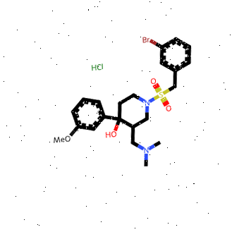 COc1cccc(C2(O)CCN(S(=O)(=O)Cc3cccc(Br)c3)CC2CN(C)C)c1.Cl